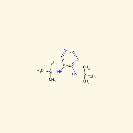 C[Si](C)(C)Nc1cncnc1N[Si](C)(C)C